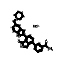 CC(=O)c1cccc(-c2ccc(-c3cc4cc(CN5CCCCC5)ccc4[nH]3)c3c2CNC3=O)c1.Cl